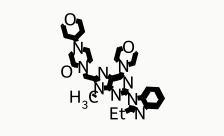 CCc1nc2ccccc2n1-c1nc(N2CCOCC2)c2nc(CN3CCN(C4CCOCC4)CC3=O)n(C)c2n1